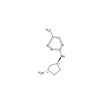 Cc1cnc(N[C@H]2CC[C@H](N)C2)nn1